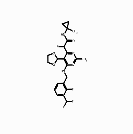 Cc1nc(NCc2cccc(C(F)F)c2F)c(C2OCCO2)c(C(F)C(=O)NC2(C)CC2)n1